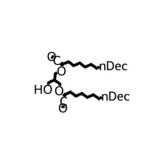 CCCCCCCCCCCCCCCCC(=C=O)OCC(CO)COC(=C=O)CCCCCCCCCCCCCCCC